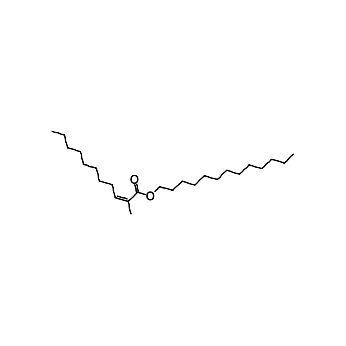 CCCCCCCCC=C(C)C(=O)OCCCCCCCCCCCCC